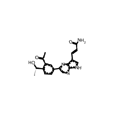 CC(=O)c1cc(-c2cnc3[nH]cc(/C=C/C(N)=O)c3n2)ccc1[C@H](C)O